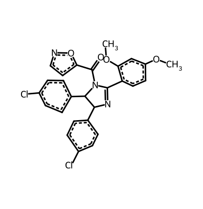 COc1ccc(C2=NC(c3ccc(Cl)cc3)C(c3ccc(Cl)cc3)N2C(=O)c2ccno2)c(OC)c1